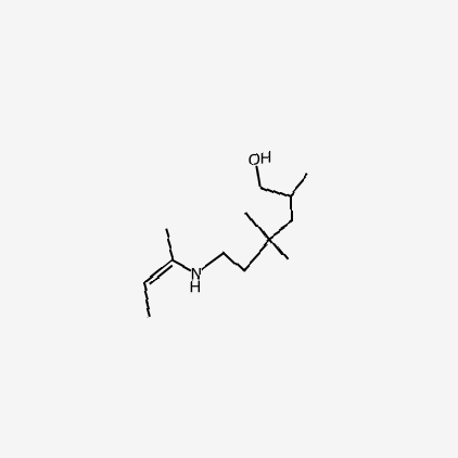 C/C=C(/C)NCCC(C)(C)CC(C)CO